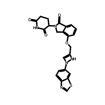 O=C1CCC(N2Cc3c(OCc4cn(-c5ccc6ncsc6c5)[nH]4)cccc3C2=O)C(=O)N1